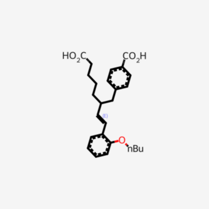 CCCCOc1ccccc1/C=C/C(CCCCC(=O)O)Cc1ccc(C(=O)O)cc1